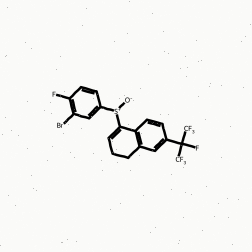 [O-][S+](C1=CCCc2cc(C(F)(C(F)(F)F)C(F)(F)F)ccc21)c1ccc(F)c(Br)c1